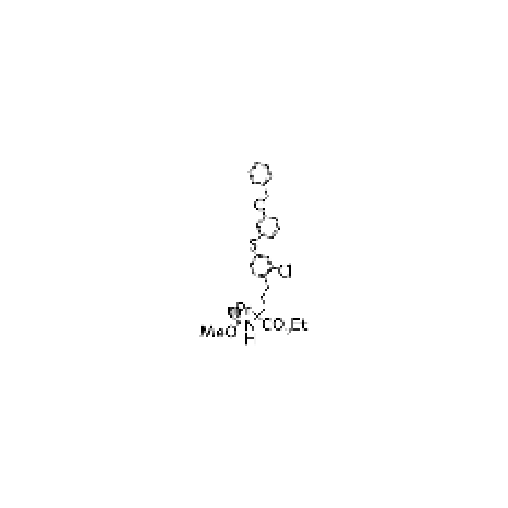 CCCC(CCCc1ccc(Sc2cccc(OCc3ccccc3)c2)cc1Cl)(NC(=O)OC)C(=O)OCC